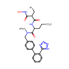 CCCCCN(Cc1ccc(-c2ccccc2-c2nnn[nH]2)cc1)C(=O)C(CCC(=O)O)NC(=O)C(CC(C)C)C(=O)NO